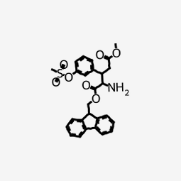 COC(=O)CC(c1cccc(OS(C)(=O)=O)c1)C(N)C(=O)OCC1c2ccccc2-c2ccccc21